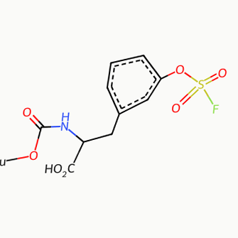 CC(C)(C)OC(=O)NC(Cc1cccc(OS(=O)(=O)F)c1)C(=O)O